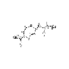 CC(C)(C)NC(=O)OC1/C=C/CC(C(=O)C(C)(C)C)CCC1